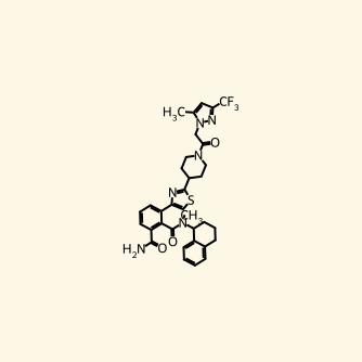 Cc1cc(C(F)(F)F)nn1CC(=O)N1CCC(c2nc(-c3cccc(C(N)=O)c3C(=O)N(C)C3CCCc4ccccc43)cs2)CC1